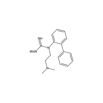 CNC(=N)N(CCN(C)C)c1ccccc1-c1ccccc1